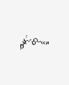 Cc1sc(N2CCN(C)CC2)nc1CCOc1cccc2c1CCC=C2CCC(=O)O.Cl